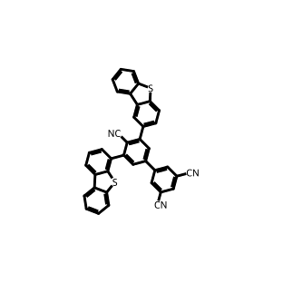 N#Cc1cc(C#N)cc(-c2cc(-c3ccc4sc5ccccc5c4c3)c(C#N)c(-c3cccc4c3sc3ccccc34)c2)c1